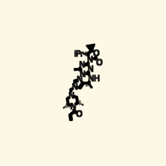 C=CC(=O)N1[C@H](C)CN(Cn2cnc([C@H](C)Nc3nc(C)nc(N4C(=O)OC5(CC5)[C@@H]4C(C)C)n3)c2)C[C@@H]1C